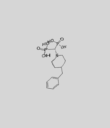 O=P(O)(O)C(N1CCC(Cc2ccccc2)CC1)P(=O)(O)O